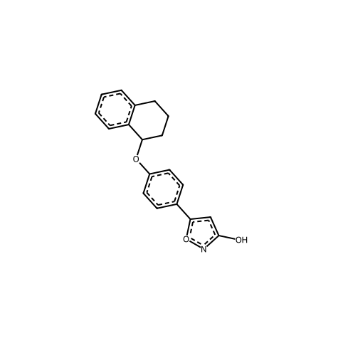 Oc1cc(-c2ccc(OC3CCCc4ccccc43)cc2)on1